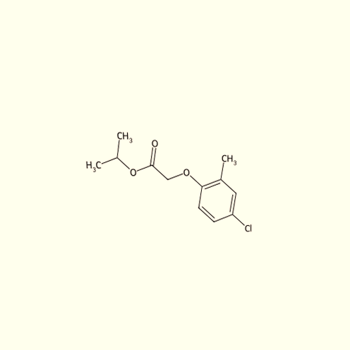 Cc1cc(Cl)ccc1OCC(=O)OC(C)C